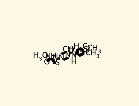 CNC(=O)c1csc(N2CCN(C(=O)Nc3ccc([Si](C)(C)C)cc3)C(C)C2)n1